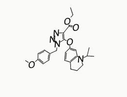 CCOC(=O)c1nnn(Cc2ccc(OC)cc2)c1Oc1ccc2c(c1)N(C(C)C)CCC2